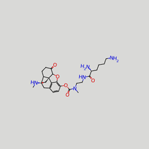 CC[C@]12c3c4ccc(OC(=O)N(C)CCNC(=O)[C@@H](N)CCCCN)c3OC1C(=O)CCC2[C@H](NC)C4